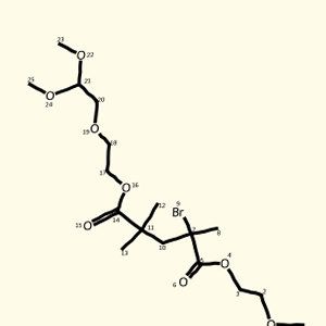 COCCOC(=O)C(C)(Br)CC(C)(C)C(=O)OCCOCC(OC)OC